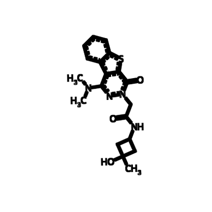 CN(C)c1nn(CC(=O)NC2CC(C)(O)C2)c(=O)c2sc3ccccc3c12